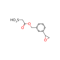 O=C(CS(=O)(=O)O)OCc1cccc(C2CO2)c1